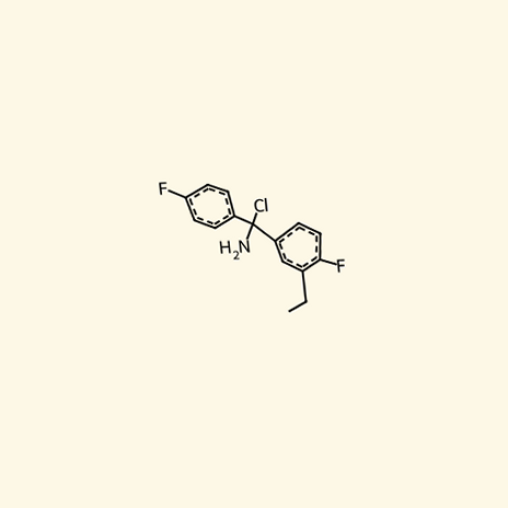 CCc1cc(C(N)(Cl)c2ccc(F)cc2)ccc1F